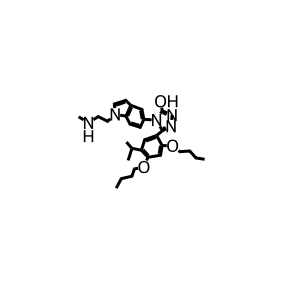 CCCCOc1cc(OCCCC)c(C(C)C)cc1-c1nnc(O)n1-c1ccc2c(ccn2CCNC)c1